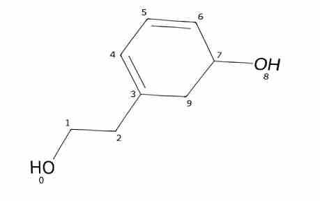 OCCC1=CC=CC(O)C1